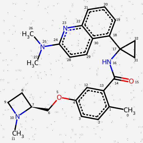 Cc1ccc(OC[C@@H]2CCN2C)cc1C(=O)NC1(c2cccc3nc(N(C)C)ccc23)CC1